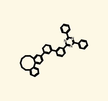 C1=C(c2cccc(-c3nc(-c4ccccc4)nc(-c4ccccc4)n3)c2)C=C(c2ccc3c(c2)CCCCCCc2ccccc2-3)CC1